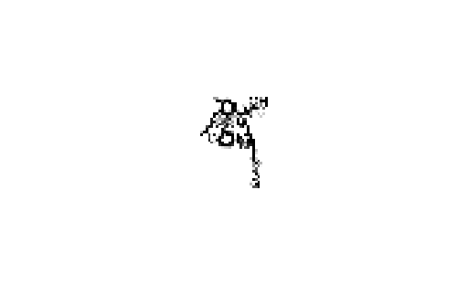 COCCOCCn1cc(COC(c2ccc(C)c(CN3CC(C)Oc4ccccc4S3(O)O)c2)C(C)(C)C(=O)O)nn1